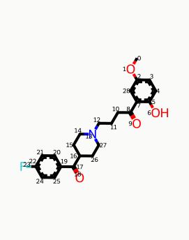 COc1ccc(O)c(C(=O)CCCN2CCC(C(=O)c3ccc(F)cc3)CC2)c1